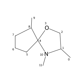 CC1COC2(CCCC2C)N1C